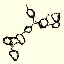 Fc1ccc(N(c2ccc(-c3ccc4c(c3)c3ccccc3n4-c3ccccc3)cc2)c2ccc3c(c2)Oc2cccc4cccc-3c24)cc1